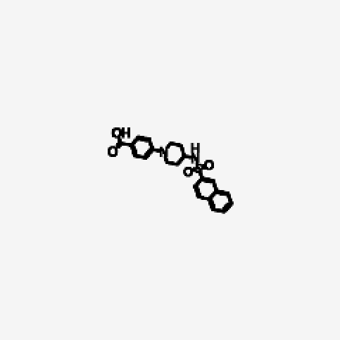 O=C(O)c1ccc(N2CCC(NS(=O)(=O)c3ccc4ccccc4c3)CC2)cc1